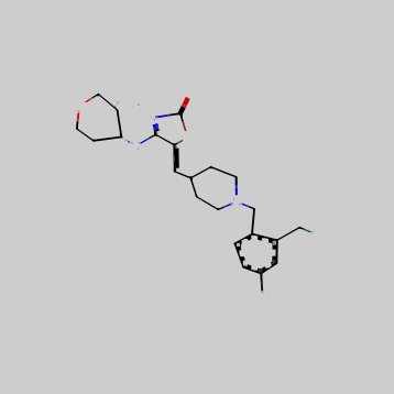 O=C1N=C(N[C@H]2CCOC[C@@H]2O)/C(=C/C2CCN(Cc3ccc(C(F)(F)F)cc3CF)CC2)S1